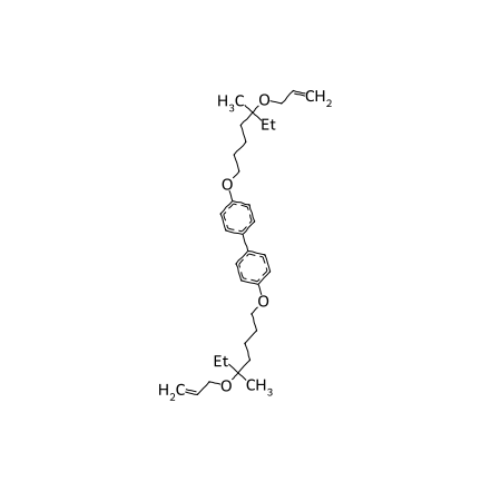 C=CCOC(C)(CC)CCCCOc1ccc(-c2ccc(OCCCCC(C)(CC)OCC=C)cc2)cc1